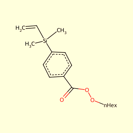 [CH2]CCCCCOOC(=O)c1ccc([Si](C)(C)C=C)cc1